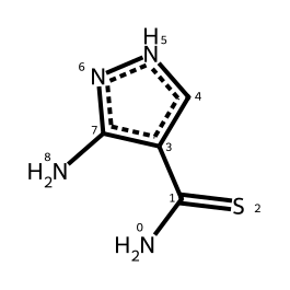 NC(=S)c1c[nH]nc1N